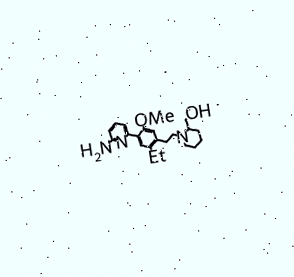 CCc1cc(-c2cccc(N)n2)c(OC)cc1CCN1CCCCC1CO